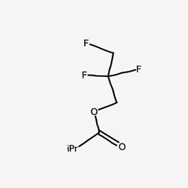 CC(C)C(=O)OCC(F)(F)CF